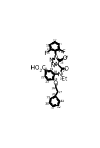 CCN(C(=O)n1nnn(-c2c(F)cccc2F)c1=O)c1cc(C(=O)O)ccc1OCCc1ccccc1